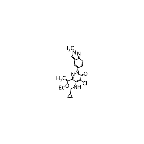 C=C(OCC)c1nn(-c2ccc3nn(C)cc3c2)c(=O)c(Cl)c1NCC1CC1